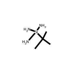 CC(C)(C)[Si](N)(N)N